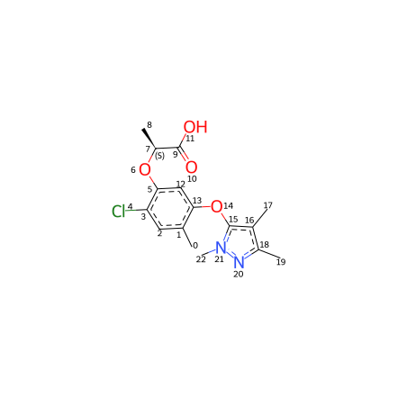 Cc1cc(Cl)c(O[C@@H](C)C(=O)O)cc1Oc1c(C)c(C)nn1C